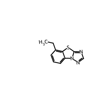 CCc1cccc2c1sc1ncnn12